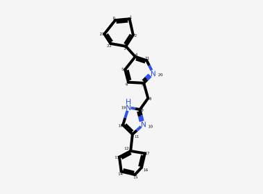 c1ccc(-c2ccc(Cc3nc(-c4ccccc4)c[nH]3)nc2)cc1